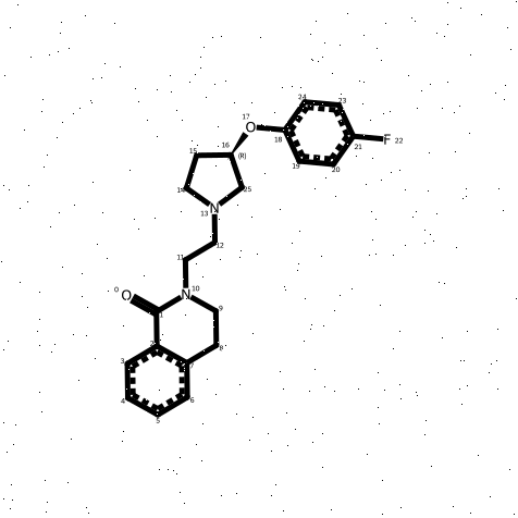 O=C1c2ccccc2CCN1CCN1CC[C@@H](Oc2ccc(F)cc2)C1